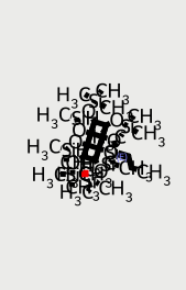 CC/C=[Si](\C)OC12C3(O[SiH2]C)C4(O[SiH](C)C)C1(O[SiH2]C)C1(O[Si](C)(C)C)C2(O[Si](C)(C)C)C3(O[Si](C)(C)C)C41O[Si](C)(C)C